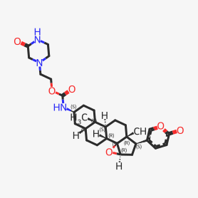 C[C@]12CC[C@H](NC(=O)OCCN3CCNC(=O)C3)C[C@H]1CC[C@@H]1[C@@H]2CC[C@]2(C)[C@@H](c3ccc(=O)oc3)C[C@H]3O[C@]132